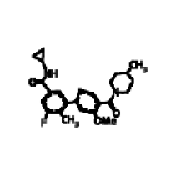 COc1cc(-c2cc(C(=O)NC3CC3)cc(F)c2C)ccc1C(=O)N1CCC(C)CC1